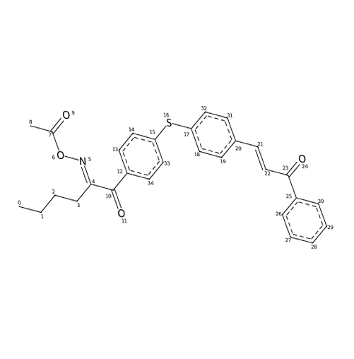 CCCCC(=NOC(C)=O)C(=O)c1ccc(Sc2ccc(C=CC(=O)c3ccccc3)cc2)cc1